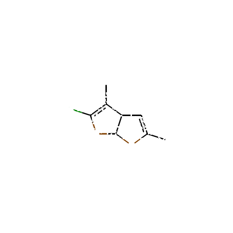 CC1=CC2C(C)=C(Cl)SC2S1